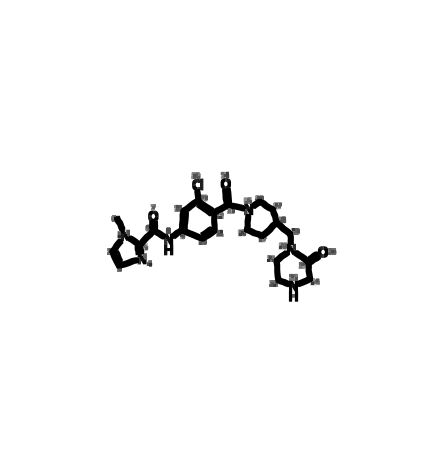 Cn1ccnc1C(=O)Nc1ccc(C(=O)N2CCC(CN3CCNCC3=O)CC2)c(Cl)c1